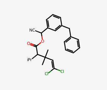 CC(C)C(C(=O)OC(C#N)c1cccc(Cc2ccccc2)c1)C(C)(C)C=C(Cl)Cl